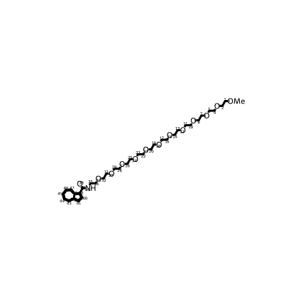 COCCOCCOCCOCCOCCOCCOCCOCCOCCOCCOCCOCCNC(=O)c1ccc2cccccc1-2